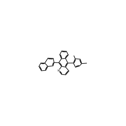 Cc1ccc(-c2c3ccccc3c(-c3ccc4ccccc4c3)c3ncccc23)c(C)c1